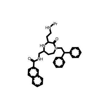 CC(C)NCCC1NC(CNC(=O)c2ccc3ccccc3c2)CCN(CC(c2ccccc2)c2ccccc2)C1=O